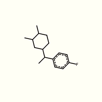 CC1CCC(C(C)c2ccc(F)cc2)CC1C